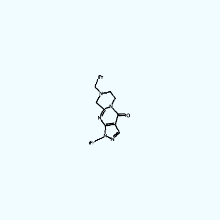 CC(C)CN1CCn2c(nc3c(cnn3C(C)C)c2=O)C1